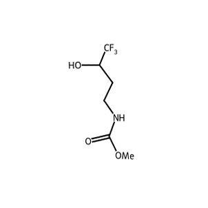 COC(=O)NCCC(O)C(F)(F)F